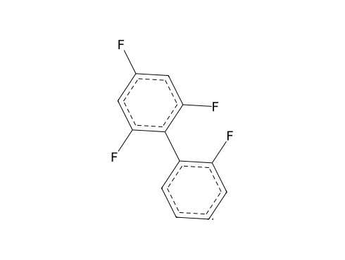 Fc1cc(F)c(-c2cc[c]cc2F)c(F)c1